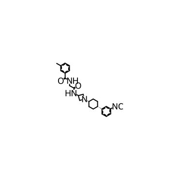 [C-]#[N+]c1cccc([C@H]2CC[C@@H](N3CC(NC(=O)CNC(=O)c4cccc(C)c4)C3)CC2)c1